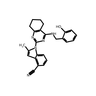 Cc1cc2c(C#N)cccc2n1-c1nc2c(c(NCc3ccccc3O)n1)CCCC2